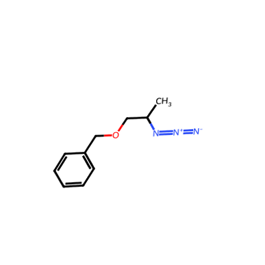 CC(COCc1ccccc1)N=[N+]=[N-]